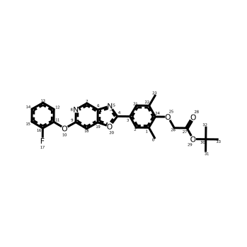 Cc1cc(-c2nc3cnc(Oc4ccccc4F)cc3o2)cc(C)c1OCC(=O)OC(C)(C)C